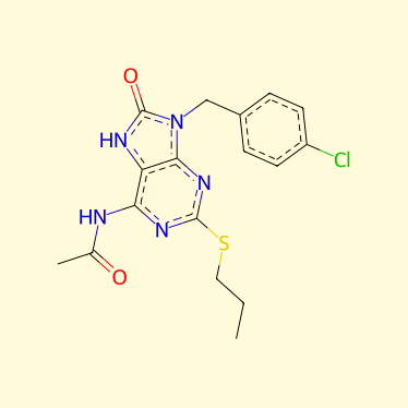 CCCSc1nc(NC(C)=O)c2[nH]c(=O)n(Cc3ccc(Cl)cc3)c2n1